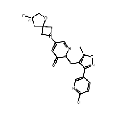 Cc1onc(-c2ccc(Cl)nc2)c1Cn1ncc(N2CC3(C[C@@H](F)CO3)C2)cc1=O